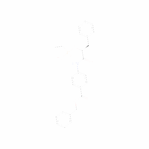 CCP(=O)(O)O[C@@H](Cc1ccccc1)C(=O)Nc1ccc(C(=O)OCc2ccccc2)cc1